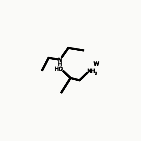 CC(O)CN.CCNCC.[W]